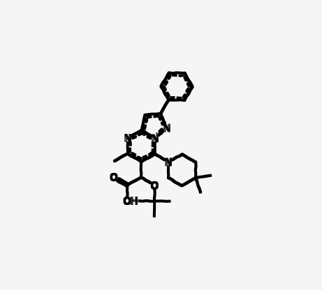 Cc1nc2cc(-c3ccccc3)nn2c(N2CCC(C)(C)CC2)c1C(OC(C)(C)C)C(=O)O